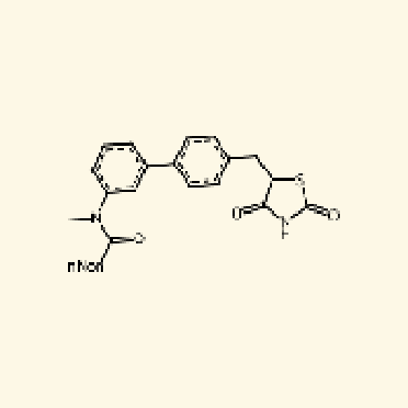 CCCCCCCCCC(=O)N(C)c1cccc(-c2ccc(CC3SC(=O)NC3=O)cc2)c1